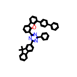 CC1(C)c2ccccc2-c2ccc(-c3nc(-c4ccccc4)nc(-c4cccc5c4oc4c(-c6ccc(-c7ccccc7)cc6)cccc45)n3)cc21